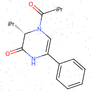 CC(C)C(=O)N1C=C(c2ccccc2)NC(=O)[C@@H]1C(C)C